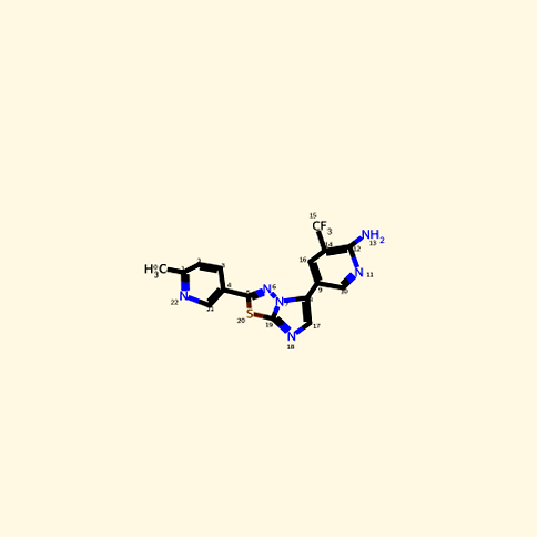 Cc1ccc(-c2nn3c(-c4cnc(N)c(C(F)(F)F)c4)cnc3s2)cn1